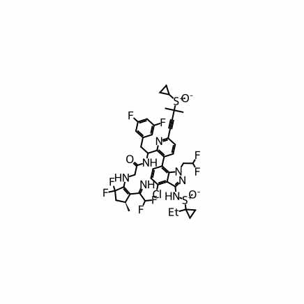 CCC1([S+]([O-])Nc2nn(CC(F)F)c3c(-c4ccc(C#CC(C)(C)[S+]([O-])C5CC5)nc4C(Cc4cc(F)cc(F)c4)NC(=O)CNC4=C(C(=N)C(F)F)[C@@H](C)CC4(F)F)ccc(Cl)c23)CC1